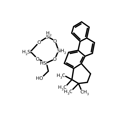 CC1(C)CCc2c(ccc3c2ccc2ccccc23)C1(C)C.OC[SiH]1O[SiH2]O[SiH2]O[SiH2]O1